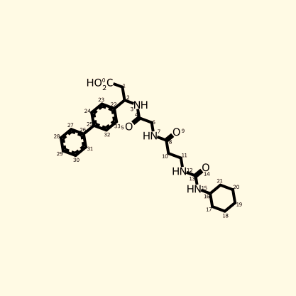 O=C(O)CC(NC(=O)CNC(=O)CCNC(=O)NC1CCCCC1)c1ccc(-c2ccccc2)cc1